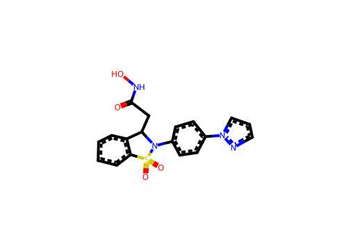 O=C(CC1c2ccccc2S(=O)(=O)N1c1ccc(-n2cccn2)cc1)NO